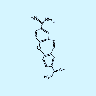 N=C(N)c1ccc2c(c1)C=Cc1cc(C(=N)N)ccc1O2